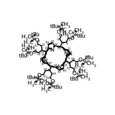 CC(C)(C)[Si](C)(C)OCCC(CCO[Si](C)(C)C(C)(C)C)c1c2nc(c(C(CCO[Si](C)(C)C(C)(C)C)CCO[Si](C)(C)C(C)(C)C)c3ccc([nH]3)c(C(CCO[Si](C)(C)C(C)(C)C)CCO[Si](C)(C)C(C)(C)C)c3nc(c(C(CCO[Si](C)(C)C(C)(C)C)CCO[Si](C)(C)C(C)(C)C)c4ccc1[nH]4)C=C3)C=C2